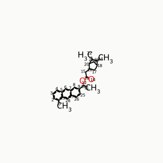 Cc1cccc2cc3cc(C(C)OC(=O)CC4CC5CC4C(C)C5C)ccc3cc12